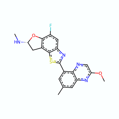 CN[C@H]1Cc2c(c(F)cc3nc(-c4cc(C)cc5nc(OC)cnc45)sc23)O1